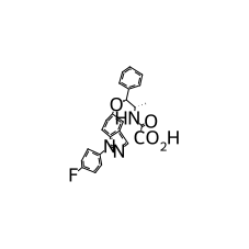 C[C@H](NC(=O)C(=O)O)[C@@H](Oc1ccc2c(cnn2-c2ccc(F)cc2)c1)c1ccccc1